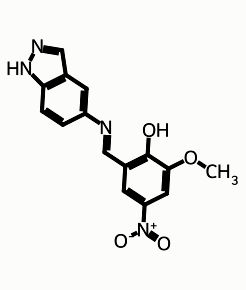 COc1cc([N+](=O)[O-])cc(C=Nc2ccc3[nH]ncc3c2)c1O